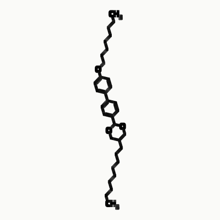 CCCCCCCCCC1COC(c2ccc(-c3ccc(OCCCCCCCC)cc3)cc2)OC1